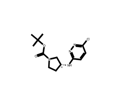 CC(C)(C)OC(=O)N1CC[C@@H](Nc2ccc(Cl)nn2)C1